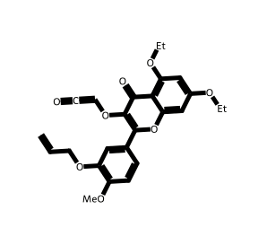 C=CCOc1cc(-c2oc3cc(OCC)cc(OCC)c3c(=O)c2OC=C=O)ccc1OC